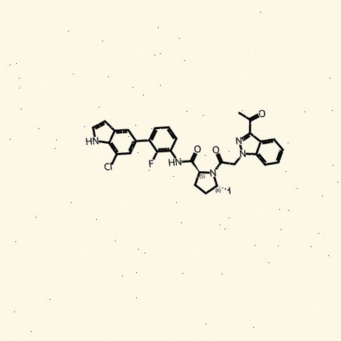 CC(=O)c1nn(CC(=O)N2[C@H](I)CC[C@H]2C(=O)Nc2cccc(-c3cc(Cl)c4[nH]ccc4c3)c2F)c2ccccc12